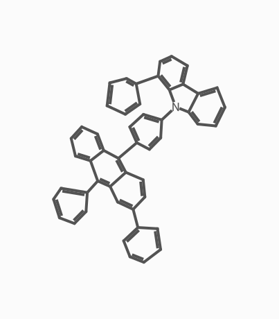 c1ccc(-c2ccc3c(-c4ccc(-n5c6ccccc6c6cccc(-c7ccccc7)c65)cc4)c4ccccc4c(-c4ccccc4)c3c2)cc1